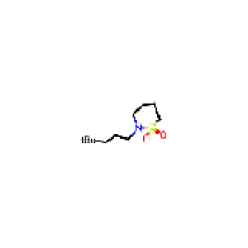 CC(C)(C)CCCN1CCCCS1(=O)=O